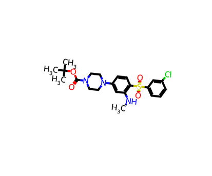 CNc1cc(N2CCN(C(=O)OC(C)(C)C)CC2)ccc1S(=O)(=O)c1cccc(Cl)c1